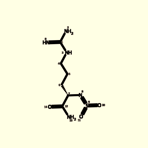 N=C(N)NCCC[C@H](N=S(=O)=O)C(N)=O